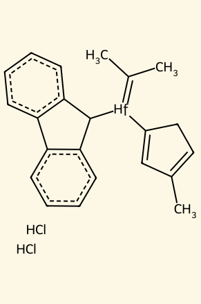 CC1=CC[C]([Hf](=[C](C)C)[CH]2c3ccccc3-c3ccccc32)=C1.Cl.Cl